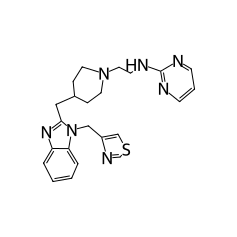 c1cnc(NCCN2CCC(Cc3nc4ccccc4n3Cc3cscn3)CC2)nc1